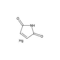 O=C1C=CC(=O)N1.[Hg]